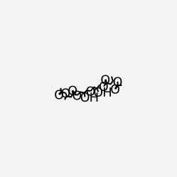 CC(=O)OC(C)CC(=O)OCC(O)COCC(O)COC(=O)CC(C)OC(C)=O